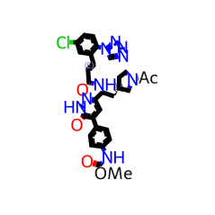 COC(=O)Nc1ccc(-c2cc(C(C[C@@H]3CCN(C(C)=O)C3)NC(=O)/C=C/c3cc(Cl)ccc3-n3cnnn3)n[nH]c2=O)cc1